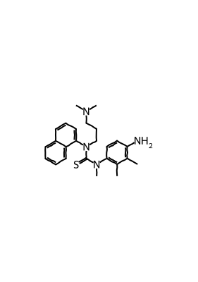 Cc1c(N)ccc(N(C)C(=S)N(CCCN(C)C)c2cccc3ccccc23)c1C